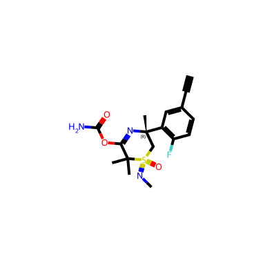 C#Cc1ccc(F)c([C@]2(C)CS(=O)(=NC)C(C)(C)C(OC(N)=O)=N2)c1